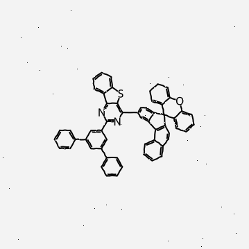 C1=C2Oc3ccccc3C3(C2=CCC1)c1ccc(-c2nc(-c4cc(-c5ccccc5)cc(-c5ccccc5)c4)nc4c2sc2ccccc24)cc1-c1c3ccc2ccccc12